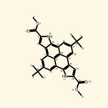 COC(=O)c1cc2c3cc(C(C)(C)C)cc4c5[nH]c(C(=O)OC)cc5c5cc(C(C)(C)C)cc(c2[nH]1)c5c34